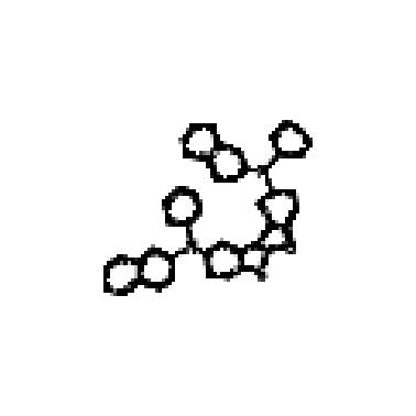 c1ccc(N(c2ccc3ccccc3c2)c2ccc3sc4sc5ccc(N(c6ccccc6)c6ccc7ccccc7c6)cc5c4c3c2)cc1